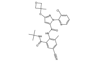 Cc1cc(C#N)cc(C(=O)NC(C)(C)C)c1NC(=O)c1cc(OC2(C)COC2)nn1-c1ncccc1Cl